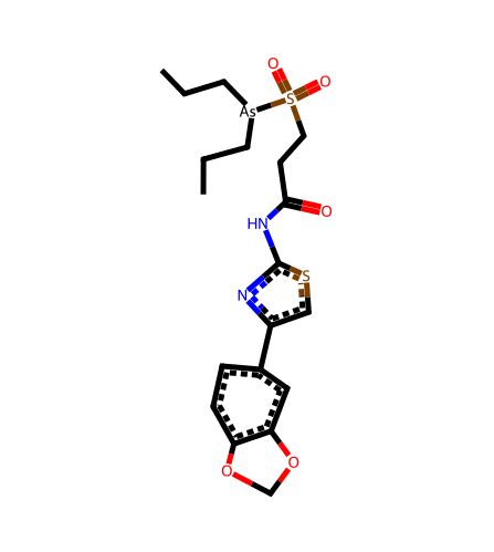 CCC[As](CCC)S(=O)(=O)CCC(=O)Nc1nc(-c2ccc3c(c2)OCO3)cs1